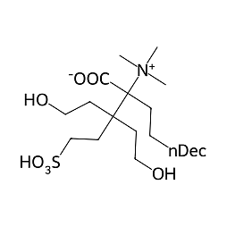 CCCCCCCCCCCCC(C(=O)[O-])(C(CCO)(CCO)CCS(=O)(=O)O)[N+](C)(C)C